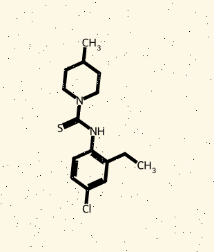 CCc1cc(Cl)ccc1NC(=S)N1CCC(C)CC1